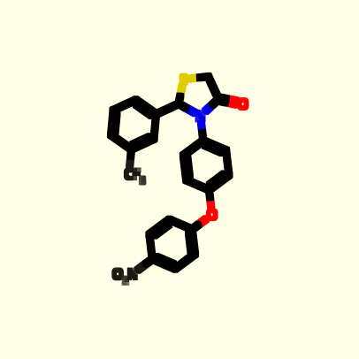 O=C1CSC(c2cccc(C(F)(F)F)c2)N1c1ccc(Oc2ccc([N+](=O)[O-])cc2)cc1